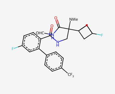 CNC(CNC(=O)c1ccc(F)cc1-c1ccc(C(F)(F)F)cc1)(C(=O)NC=O)C12CC(F)(C1)C2